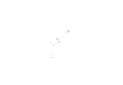 CC(=O)Nc1ccc(-c2noc(C3CCCCN3C(=O)COc3ccccc3)n2)cc1C(F)(F)F